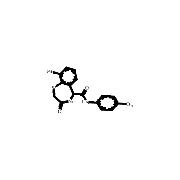 CCc1cccc2c1OCC(=O)NC2C(=O)Nc1ccc(C(F)(F)F)cc1